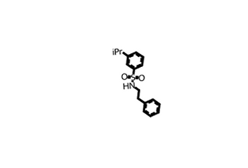 CC(C)c1cccc(S(=O)(=O)NCCc2ccccc2)c1